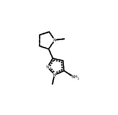 CN1CCCC1c1cc(N)n(C)n1